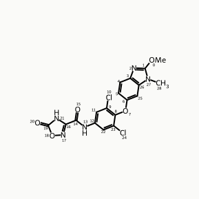 COc1nc2ccc(Oc3c(Cl)cc(NC(=O)c4noc(=O)[nH]4)cc3Cl)cc2n1C